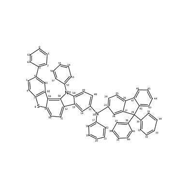 c1ccc(-c2ccc3sc4ccc5c6cc(N(c7ccccc7)c7ccc8c(c7)C(c7ccccc7)(c7ccccc7)c7ccccc7-8)ccc6n(-c6ccccc6)c5c4c3c2)cc1